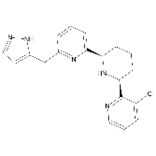 Clc1cccnc1[C@@H]1CCC[C@H](c2cccc(Cc3ccn[nH]3)n2)N1